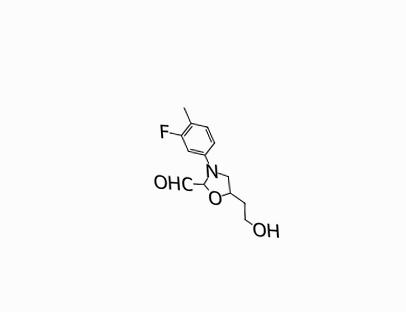 Cc1ccc(N2CC(CCO)OC2C=O)cc1F